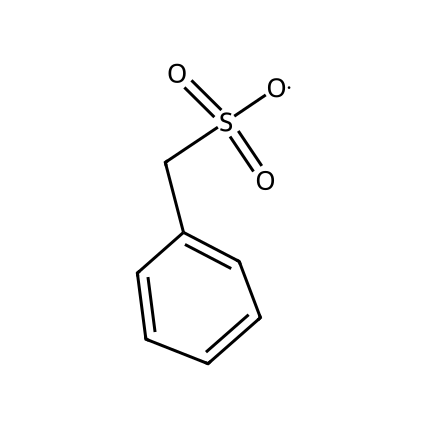 [O]S(=O)(=O)Cc1ccccc1